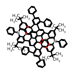 CC(C)(C)c1ccc2c(c1)N(c1ccccc1)c1cc(C(C)(C)C)cc3c1B2c1cc2c(-c4c(-c5ccccc5)cc(-c5ccccc5)cc4-c4ccccc4)cc4c5c(cc6c(-c7c(-c8ccccc8)cc(-c8ccccc8)cc7-c7ccccc7)cc-3c1c6c25)B1c2ccc(C(C)(C)C)cc2N(c2ccccc2)c2cc(C(C)(C)C)cc-4c21